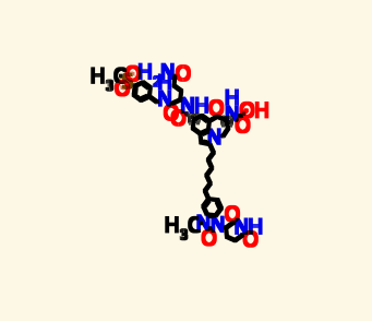 Cn1c(=O)n(C2CCC(=O)NC2=O)c2ccc(CCCCCCc3cc4c5n3CC[C@H](NC(=O)O)C(=O)C5=C[C@@H](C(=O)NC(CCC(N)=O)C(=O)NCc3ccc(S(C)(=O)=O)cc3)C4)cc21